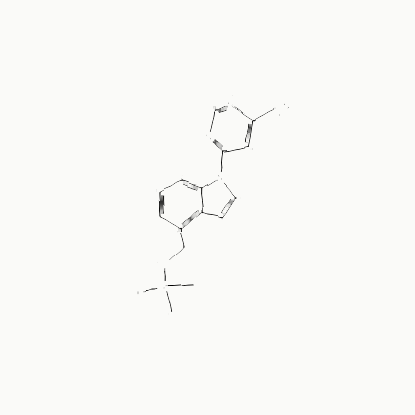 CC(C)(C)[Si](C)(C)OCc1cccc2c1ccn2-c1cc(C#N)ncn1